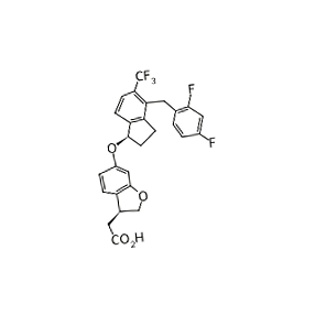 O=C(O)C[C@@H]1COc2cc(O[C@@H]3CCc4c3ccc(C(F)(F)F)c4Cc3ccc(F)cc3F)ccc21